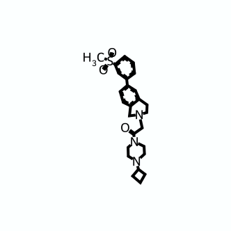 CS(=O)(=O)c1cccc(-c2ccc3c(c2)CCN(CC(=O)N2CCN(C4CCC4)CC2)C3)c1